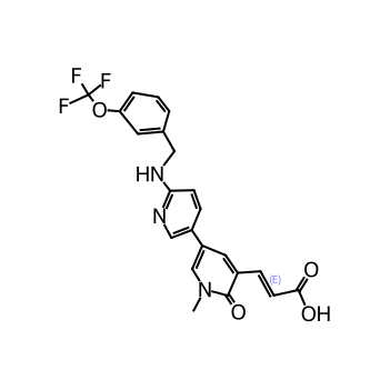 Cn1cc(-c2ccc(NCc3cccc(OC(F)(F)F)c3)nc2)cc(/C=C/C(=O)O)c1=O